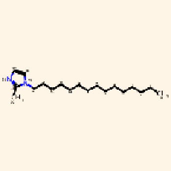 CCCCCCCCCCCCCCCn1ccnc1C